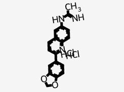 CC(=N)Nc1ccc2nc(-c3ccc4c(c3)OCO4)ccc2c1.Cl.Cl